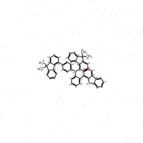 CC1(C)c2ccccc2-c2c(-c3ccc(N(c4ccccc4-c4cccc5c4sc4ccccc45)c4cccc5c4-c4ccccc4C5(C)C)cc3)cccc21